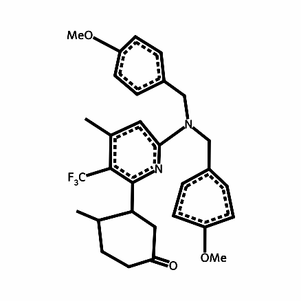 COc1ccc(CN(Cc2ccc(OC)cc2)c2cc(C)c(C(F)(F)F)c(C3CC(=O)CCC3C)n2)cc1